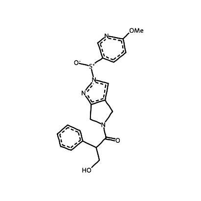 COc1ccc([S+]([O-])n2cc3c(n2)CN(C(=O)C(CO)c2ccccc2)C3)cn1